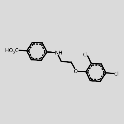 O=C(O)c1ccc(NCCOc2ccc(Cl)cc2Cl)cc1